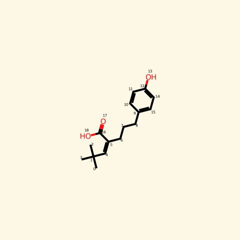 CC(C)(C)C=C(CCCc1ccc(O)cc1)C(=O)O